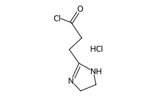 Cl.O=C(Cl)CCC1=NCCN1